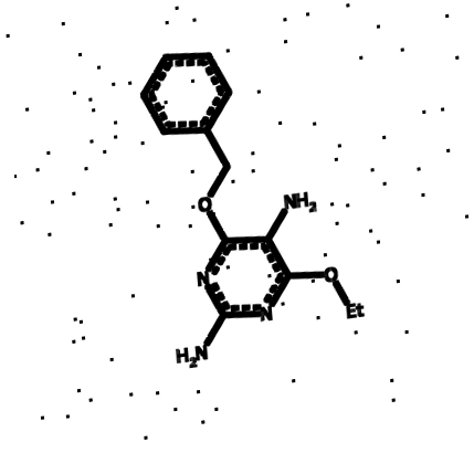 CCOc1nc(N)nc(OCc2ccccc2)c1N